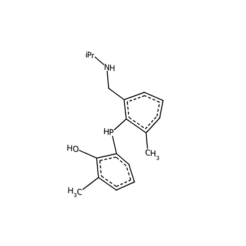 Cc1cccc(Pc2c(C)cccc2CNC(C)C)c1O